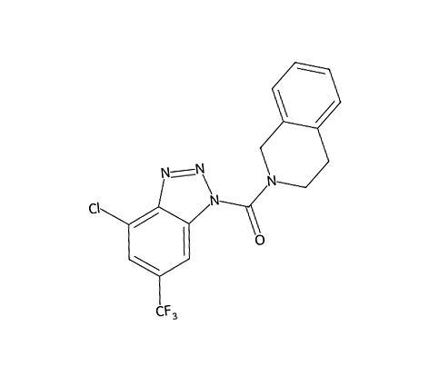 O=C(N1CCc2ccccc2C1)n1nnc2c(Cl)cc(C(F)(F)F)cc21